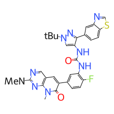 CNc1ncc2cc(-c3ccc(F)c(NC(=O)Nc4cn(C(C)(C)C)nc4-c4ccc5scnc5c4)c3)c(=O)n(C)c2n1